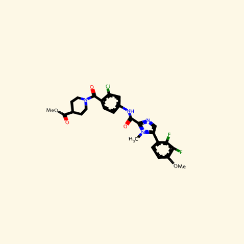 COC(=O)C1CCN(C(=O)c2ccc(NC(=O)c3ncc(-c4ccc(OC)c(F)c4F)n3C)cc2Cl)CC1